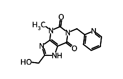 Cn1c(=O)n(Cc2ccccn2)c(=O)c2[nH]c(CO)nc21